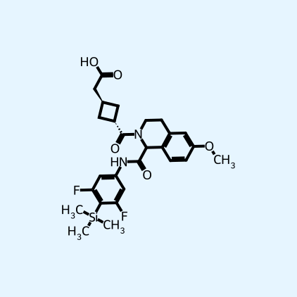 COc1ccc2c(c1)CCN(C(=O)[C@H]1C[C@H](CC(=O)O)C1)C2C(=O)Nc1cc(F)c([Si](C)(C)C)c(F)c1